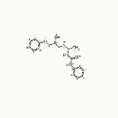 CC(NCC(O)COc1ccccc1)NC(=O)Nc1ccccc1